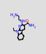 CCn1c2ccccc2c2cc(C(N)=O)c(NCCN)nc21